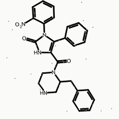 O=C(c1[nH]c(=O)n(-c2ccccc2[N+](=O)[O-])c1-c1ccccc1)N1CCNCC1Cc1ccccc1